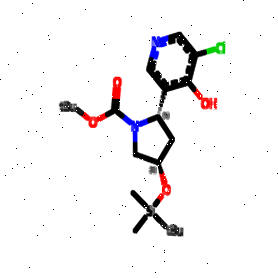 CC(C)(C)OC(=O)N1C[C@H](O[Si](C)(C)C(C)(C)C)C[C@H]1c1cncc(Cl)c1O